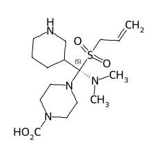 C=CCS(=O)(=O)[C@@](C1CCCNC1)(N(C)C)N1CCN(C(=O)O)CC1